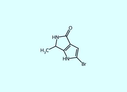 CC1NC(=O)c2cc(Br)[nH]c21